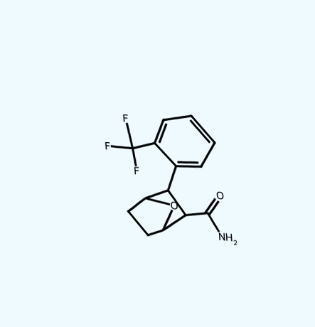 NC(=O)C1C2CCC(O2)C1c1ccccc1C(F)(F)F